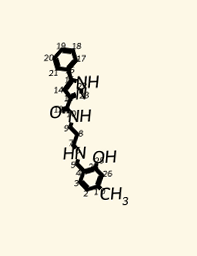 Cc1ccc(CNCCCNC(=O)c2cc(-c3ccccc3)[nH]n2)c(O)c1